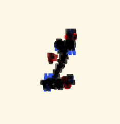 CBr.CBr.Cc1ncccc1C(NCCCCCCCCCCNC(c1cccc(OC(=O)N(C)C)c1)c1cccnc1C)c1cccc(OC(=O)N(C)C)c1